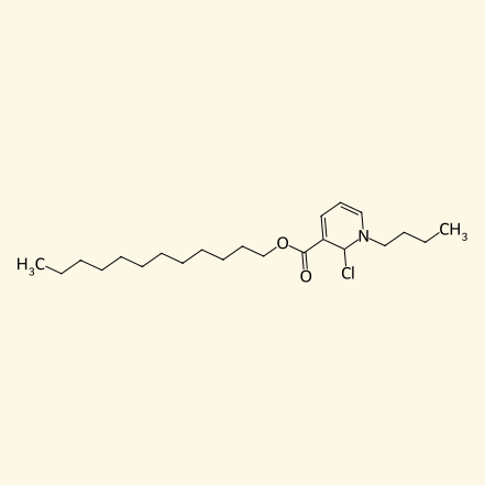 CCCCCCCCCCCCOC(=O)C1=CC=CN(CCCC)C1Cl